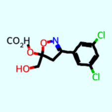 O=C(O)OC1(CO)CC(c2cc(Cl)cc(Cl)c2)=NO1